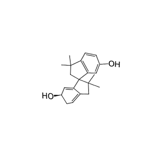 CC1(C)CC2(C3=C[C@H](O)CC=C3CC2(C)C)c2cc(O)ccc21